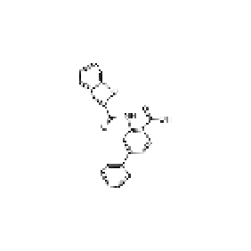 O=C(Nc1cc(-c2ccccc2)ccc1C(=O)O)c1cc2ccccc2o1